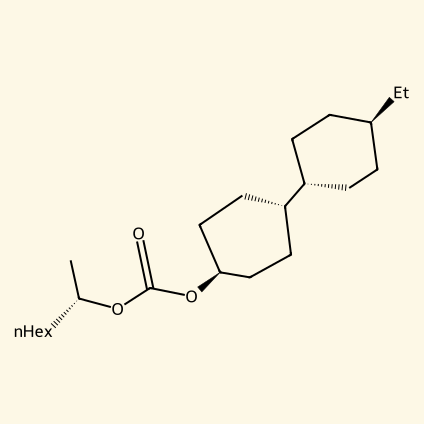 CCCCCC[C@H](C)OC(=O)O[C@H]1CC[C@H]([C@H]2CC[C@H](CC)CC2)CC1